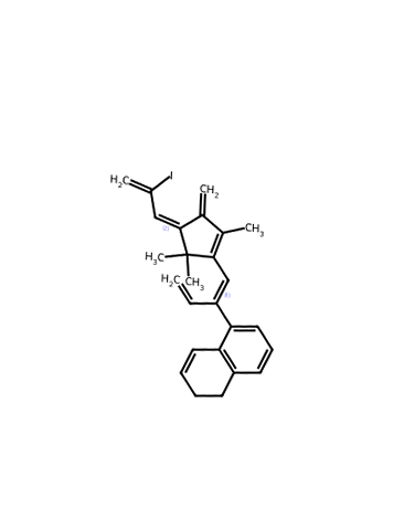 C=C/C(=C\C1=C(C)C(=C)/C(=C\C(=C)I)C1(C)C)c1cccc2c1C=CCC2